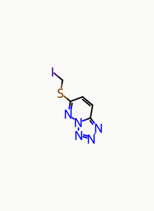 ICSc1ccc2nnnn2n1